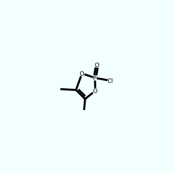 CC1=C(C)OP(=O)(Cl)O1